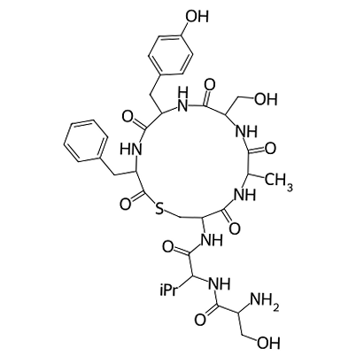 CC1NC(=O)C(NC(=O)C(NC(=O)C(N)CO)C(C)C)CSC(=O)C(Cc2ccccc2)NC(=O)C(Cc2ccc(O)cc2)NC(=O)C(CO)NC1=O